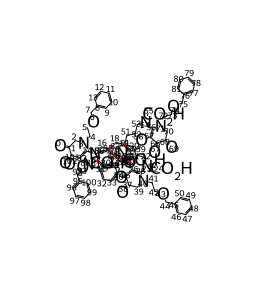 O=C1CN(CCOCc2ccccc2)C(N(CCCC(CCCN(C(=O)O)C2=C(OCc3ccccc3)C(=O)C(=O)CN2CCOCc2ccccc2)(CCCN(C(=O)O)C2=C(OCc3ccccc3)C(=O)C(=O)CN2CCOCc2ccccc2)N(C(=O)O)c2ccc([N+](=O)[O-])cc2)C(=O)O)=C(OCc2ccccc2)C1=O